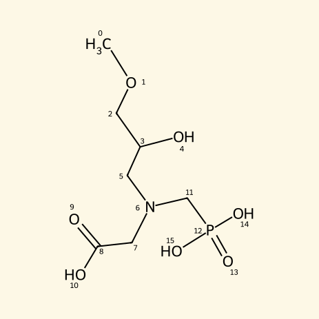 COCC(O)CN(CC(=O)O)CP(=O)(O)O